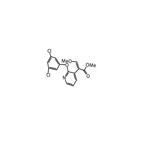 CO/C=C(/C(=O)OC)c1cccnc1Oc1cc(Cl)cc(Cl)c1